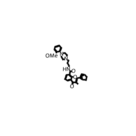 COc1ccccc1N1CCN(CCCNC(=O)c2cccc3c(=O)c(C)c(C4CC5CCC4C5)oc23)CC1